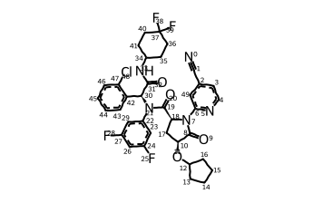 N#Cc1ccnc(N2C(=O)[C@@H](OC3CCCC3)C[C@H]2C(=O)N(c2cc(F)cc(F)c2)[C@H](C(=O)NC2CCC(F)(F)CC2)c2ccccc2Cl)c1